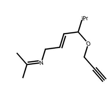 C#CCOC(C=CCN=C(C)C)C(C)C